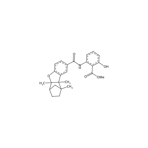 COC(=O)c1c(O)cccc1NC(=O)c1ccc2c(c1)C1(C)C3(C)CCC(C3)C1(C)O2